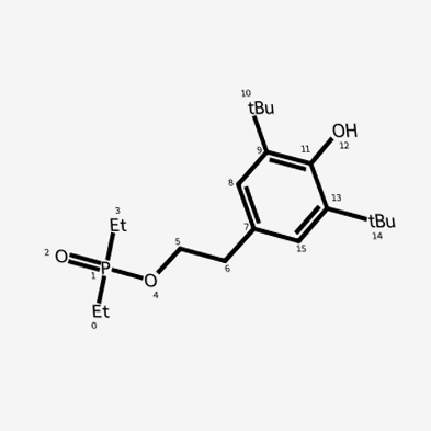 CCP(=O)(CC)OCCc1cc(C(C)(C)C)c(O)c(C(C)(C)C)c1